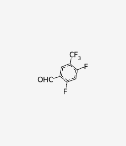 O=Cc1cc(C(F)(F)F)c(F)cc1F